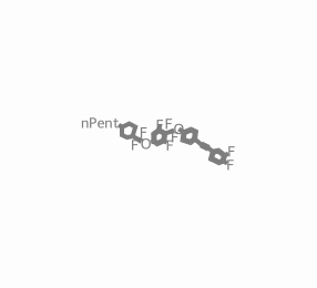 CCCCCC1CCC(C(F)(F)Oc2cc(F)c(C(F)(F)Oc3ccc(C#Cc4ccc(F)c(F)c4)cc3)c(F)c2)CC1